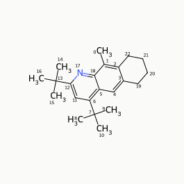 Cc1c2c(cc3c(C(C)(C)C)cc(C(C)(C)C)nc13)CCCC2